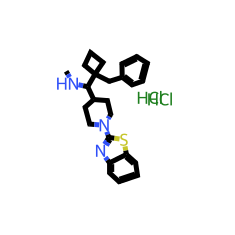 CNC(C1CCN(c2nc3ccccc3s2)CC1)C1(Cc2ccccc2)CCC1.Cl.Cl